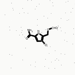 NC(=O)c1cc(Cl)c(COC=O)[nH]1